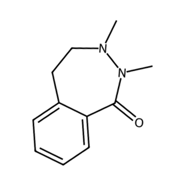 CN1CCc2ccccc2C(=O)N1C